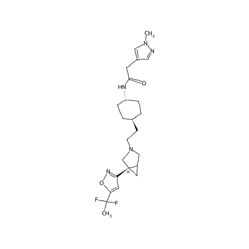 Cn1cc(CC(=O)N[C@H]2CC[C@H](CCN3CC4C[C@]4(c4cc(C(C)(F)F)on4)C3)CC2)cn1